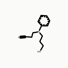 N#CCCN(CCCO)c1ccccc1